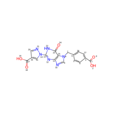 O=C(O)c1ccc(Cn2cnc3nc(-n4cc(C(=O)O)cn4)[nH]c(=O)c32)cc1